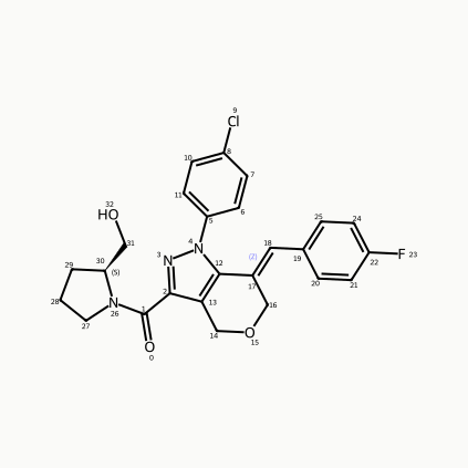 O=C(c1nn(-c2ccc(Cl)cc2)c2c1COC/C2=C\c1ccc(F)cc1)N1CCC[C@H]1CO